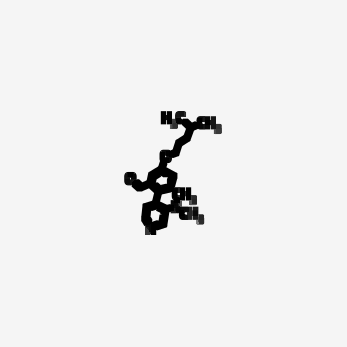 CC(C)CCCOc1ccc(-c2ccncc2N(C)C)c(C=O)c1